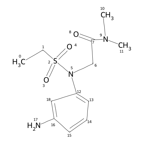 CCS(=O)(=O)N(CC(=O)N(C)C)c1cccc(N)c1